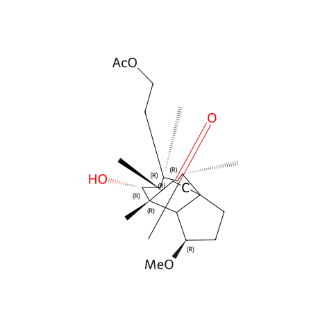 CO[C@@H]1CCC23CC[C@@H](C)[C@](C)(C12)[C@H](O)C[C@@](C)(CCOC(C)=O)C(=O)[C@@H]3C